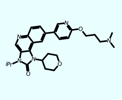 CC(C)n1c(=O)n(C2CCOCC2)c2c3cc(-c4ccc(OCCCN(C)C)nc4)ccc3ncc21